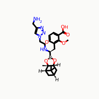 COc1c(C[C@H](NC(=O)Cn2cc(CN)nn2)B2O[C@@H]3C[C@@H]4C[C@@H](C4(C)C)[C@]3(C)O2)cccc1C(=O)O